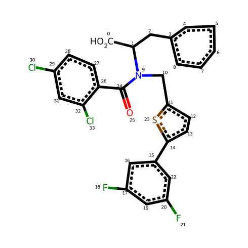 O=C(O)C(Cc1ccccc1)N(Cc1ccc(-c2cc(F)cc(F)c2)s1)C(=O)c1ccc(Cl)cc1Cl